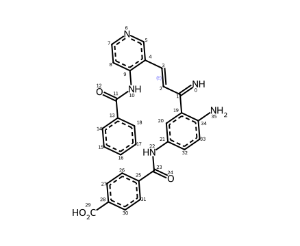 N=C(/C=C/c1cnccc1NC(=O)c1ccccc1)c1cc(NC(=O)c2ccc(C(=O)O)cc2)ccc1N